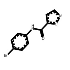 O=C(Nc1ccc(Br)cc1)c1ccno1